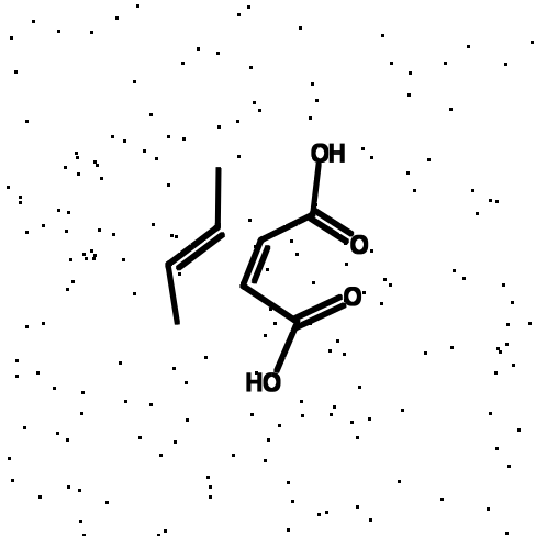 CC=CC.O=C(O)/C=C\C(=O)O